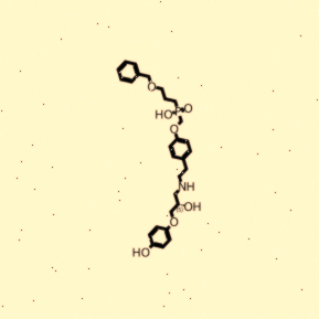 O=P(O)(CCCOCc1ccccc1)COc1ccc(CCNC[C@H](O)COc2ccc(O)cc2)cc1